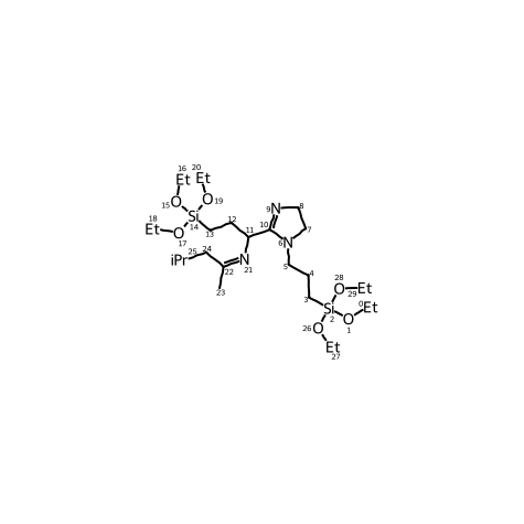 CCO[Si](CCCN1CCN=C1C(CC[Si](OCC)(OCC)OCC)N=C(C)CC(C)C)(OCC)OCC